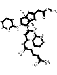 COC(=O)CC1=C[C@@H]2C[C@@H](OC3CCCCO3)[C@H](C(=CCC[C@H](C)CCC=C(C)C)OC3CCCCO3)[C@@H]2C1